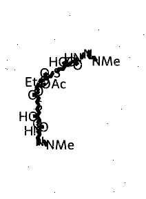 CCC(COC(C)=O)(COC(=O)CCSCCC(O)COC(=O)NCCN(C)CCNC)COC(=O)CCSCCC(O)COC(=O)NCCN(C)CCNC